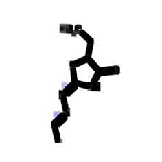 [CH2]/C=N/N=C1\NC(=O)C(CC(=O)O)S1